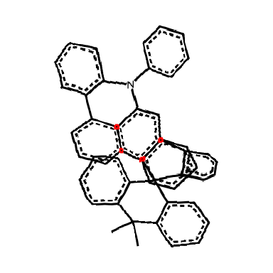 CC1(C)c2ccccc2C2(c3ccccc3-c3cc(N(c4ccccc4)c4ccccc4-c4cccc(-c5ccccc5)c4)ccc32)c2ccccc21